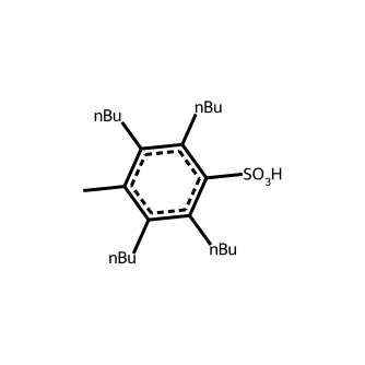 CCCCc1c(C)c(CCCC)c(CCCC)c(S(=O)(=O)O)c1CCCC